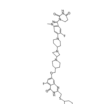 Cn1nc(N2CCC(=O)NC2=O)c2cc(F)c(N3CCC(N4CC(N5CCC(COc6cc(F)c7c(=O)[nH]c(CSC8CCOCC8)nc7c6)CC5)C4)CC3)cc21